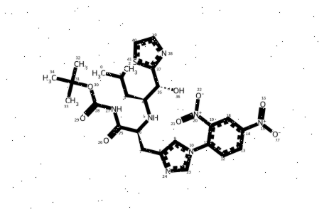 CC(C)C[C@H](N[C@@H](Cc1cn(-c2ccc([N+](=O)[O-])cc2[N+](=O)[O-])cn1)C(=O)NC(=O)OC(C)(C)C)[C@@H](O)c1nccs1